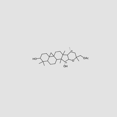 CC(=O)OCC1(C)C[C@@H](C)C2C(O1)[C@H](O)C1(C)C3CCC4C(C)(C)C(O)CCC45CC35CCC21C